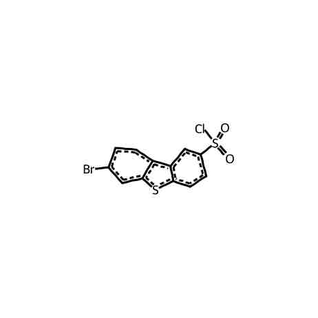 O=S(=O)(Cl)c1ccc2sc3cc(Br)ccc3c2c1